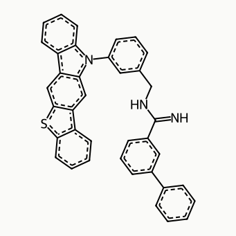 N=C(NCc1cccc(-n2c3ccccc3c3cc4sc5ccccc5c4cc32)c1)c1cccc(-c2ccccc2)c1